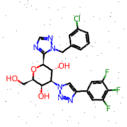 OC[C@H]1O[C@@H](c2ncnn2Cc2cccc(Cl)c2)[C@H](O)[C@@H](n2cc(-c3cc(F)c(F)c(F)c3)nn2)[C@H]1O